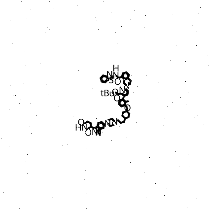 Cc1c(OC2CCC(C[C@H](C)CN3CCN(c4ccc5c(C6CCC(=O)NC6=O)nn(C)c5c4)CC3)CC2)cccc1-c1ccc(N2CCc3cccc(C(=O)Nc4nc5ccccc5s4)c3C2)nc1C(=O)OC(C)(C)C